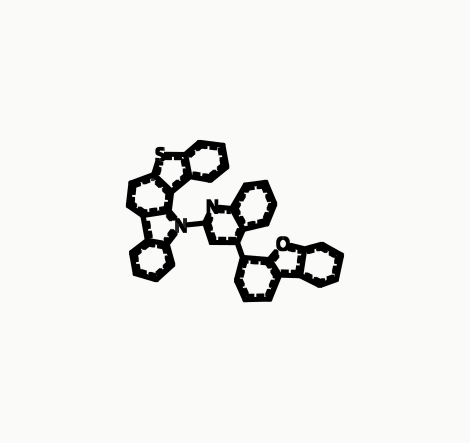 c1ccc2c(-c3cccc4c3oc3ccccc34)cc(-n3c4ccccc4c4ccc5sc6ccccc6c5c43)nc2c1